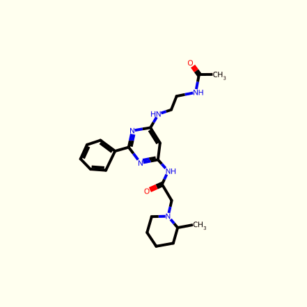 CC(=O)NCCNc1cc(NC(=O)CN2CCCCC2C)nc(-c2ccccc2)n1